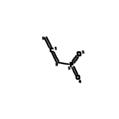 C=C=CP(=O)=O